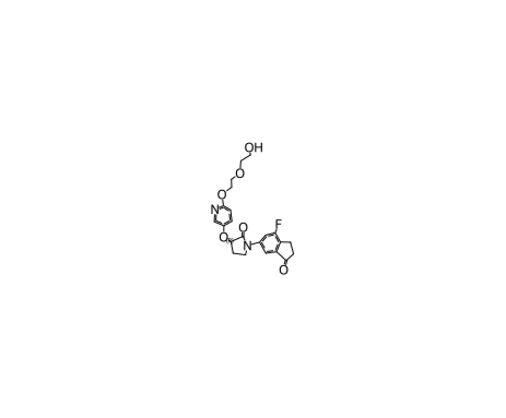 O=C1CCc2c(F)cc(N3CC[C@@H](Oc4ccc(OCCOCCO)nc4)C3=O)cc21